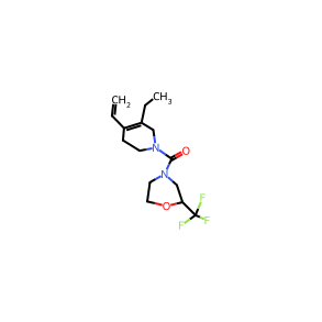 C=CC1=C(CC)CN(C(=O)N2CCOC(C(F)(F)F)C2)CC1